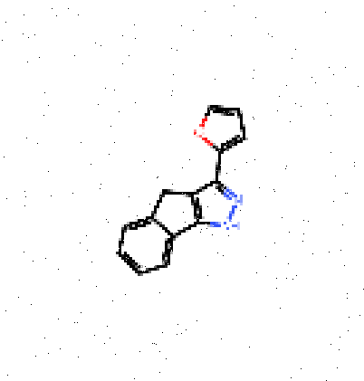 c1coc(-c2n[nH]c3c2Cc2ccccc2-3)c1